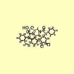 O=C(O)[C@@H]1CN(C(=O)C(c2ccccc2)c2ccc(Cl)c(Cl)c2)CCN1C(=O)N1c2ccccc2C=Cc2ccccc21